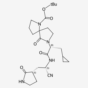 CC(C)(C)OC(=O)N1CCCC12CCN([C@H](CC1CC1)C(=O)N[C@H](C#N)C[C@@H]1CCNC1=O)C2=O